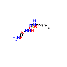 CCCCCCC(=O)Nc1cnc(OCC(O)CNCCOc2ccc(C(N)=O)cc2)s1